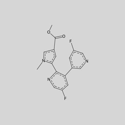 COC(=O)c1cc(-c2ncc(F)cc2-c2cncc(F)c2)n(C)c1